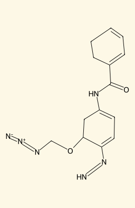 [N-]=[N+]=NCOC1CC(NC(=O)C2=CC=CCC2)=CC=C1N=N